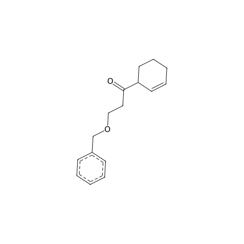 O=C(CCOCc1ccccc1)C1C=CCCC1